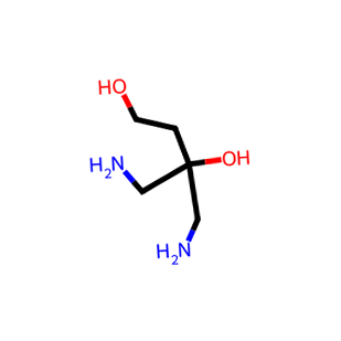 NCC(O)(CN)CCO